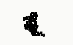 C[C@@]12CCC[C@H]1[C@@H]1CC[C@H]3C[C@@H](C(O)C(=O)O)C=C[C@]3(C)[C@H]1CC2